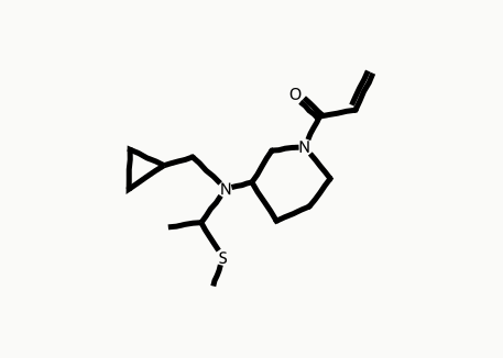 C=CC(=O)N1CCCC(N(CC2CC2)C(C)SC)C1